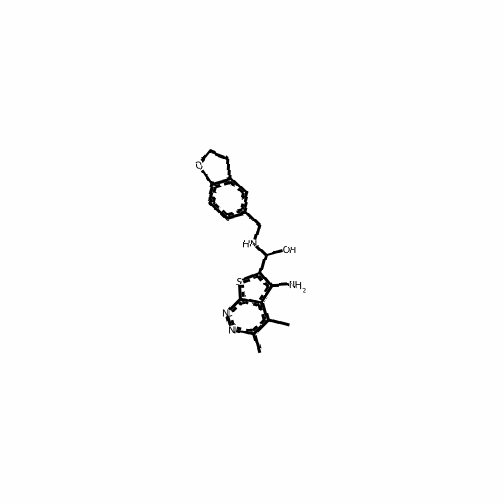 Cc1nnc2sc(C(O)NCc3ccc4c(c3)CCO4)c(N)c2c1C